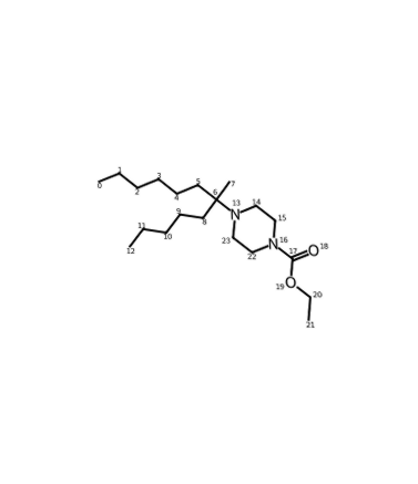 CCCCCCC(C)(CCCCC)N1CCN(C(=O)OCC)CC1